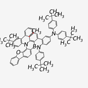 Cc1cc2c3c(c1)N(c1ccc(C(C)(C)C)cc1-c1ccccc1)c1c(ccc4c1oc1ccccc14)B3N(c1ccc(C(C)(C)C)cc1)c1ccc(N(c3ccc(C(C)(C)C)cc3)c3ccc(C(C)(C)C)cc3)cc1-2